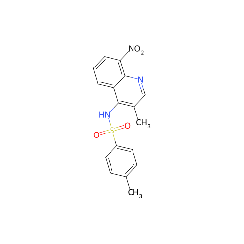 Cc1ccc(S(=O)(=O)Nc2c(C)cnc3c([N+](=O)[O-])cccc23)cc1